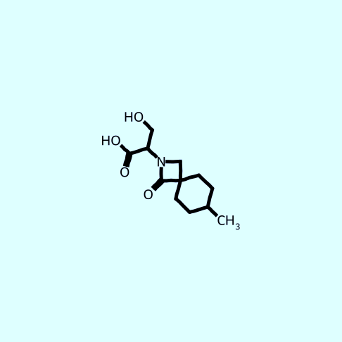 CC1CCC2(CC1)CN(C(CO)C(=O)O)C2=O